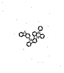 C1=CC(n2c3ccccc3c3ccc4c(c5cccc6c5n4-c4ccccc4N6c4ccccc4)c32)Cc2c1sc1ccccc21